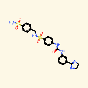 NS(=O)(=O)c1ccc(CNS(=O)(=O)c2ccc(NC(=O)Nc3cccc(C4=NCCN4)c3)cc2)cc1